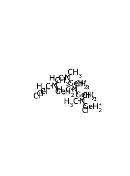 C[N](C)[GeH2+].C[N](C)[GeH2+].C[N](C)[GeH2+].C[N](C)[GeH2+].[Cl-].[Cl-].[Cl-].[Cl-]